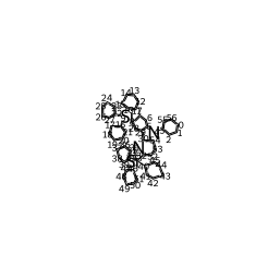 c1ccc(-n2c3ccc([Si](c4ccccc4)(c4ccccc4)c4ccccc4)cc3c3nc([Si](c4ccccc4)(c4ccccc4)c4ccccc4)ccc32)cc1